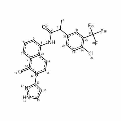 CC(C(=O)Nc1cccc2c(=O)n(-c3cc[nH]n3)ccc12)c1ccc(Cl)c(C(F)(F)F)c1